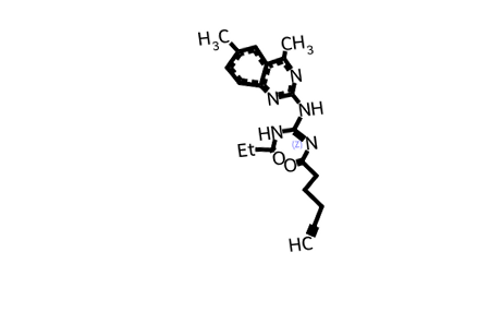 C#CCCCC(=O)/N=C(\NC(=O)CC)Nc1nc(C)c2cc(C)ccc2n1